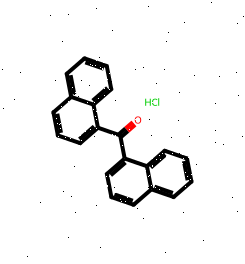 Cl.O=C(c1cccc2ccccc12)c1cccc2ccccc12